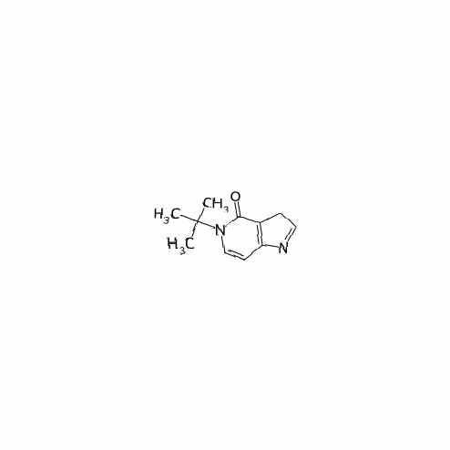 CC(C)(C)n1ccc2c(c1=O)CC=N2